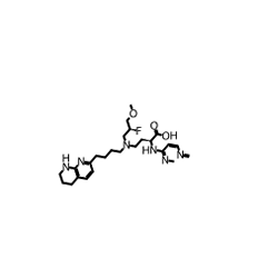 C=N/C=C\C(=N/C)N[C@@H](CCN(CCCCc1ccc2c(n1)NCCC2)C[C@H](F)COC)C(=O)O